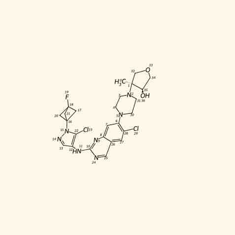 C[C@]1(N2CCN(c3cc4nc(Nc5cnn(C67CC(F)(C6)C7)c5Cl)ncc4cc3Cl)CC2)COC[C@H]1O